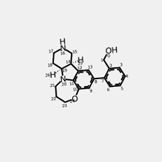 OCc1ccccc1-c1cc2c3c(c1)[C@@H]1CNCC[C@@H]1N3CCCO2